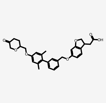 Cc1cc(OCC2CCC(=O)CO2)cc(C)c1-c1cccc(COc2ccc3c(c2)OCC3CC(=O)O)c1